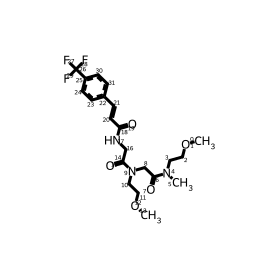 COCCN(C)C(=O)CN(CCOC)C(=O)CNC(=O)/C=C/c1ccc(C(F)(F)F)cc1